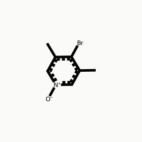 Cc1c[n+]([O-])cc(C)c1Br